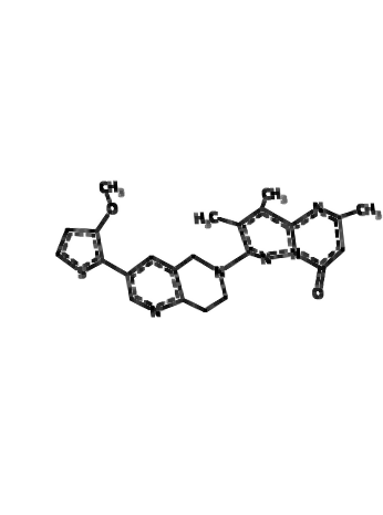 COc1ccsc1-c1cnc2c(c1)CN(c1nn3c(=O)cc(C)nc3c(C)c1C)CC2